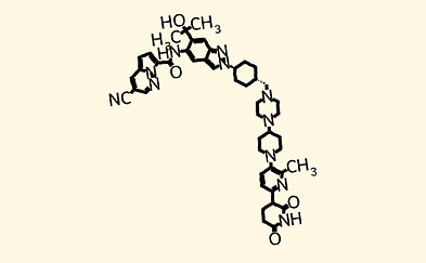 Cc1nc(C2CCC(=O)NC2=O)ccc1N1CCC(N2CCN(C[C@H]3CC[C@H](n4cc5cc(NC(=O)c6ccc7cc(C#N)cnn67)c(C(C)(C)O)cc5n4)CC3)CC2)CC1